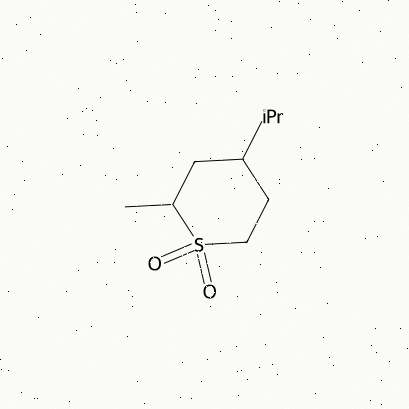 CC(C)C1CCS(=O)(=O)C(C)C1